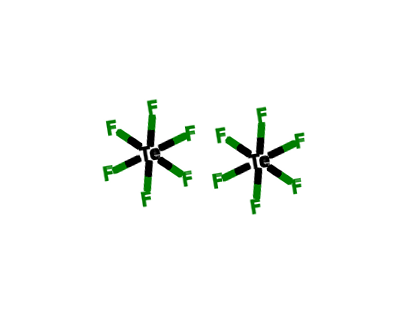 F[Te](F)(F)(F)(F)F.F[Te](F)(F)(F)(F)F